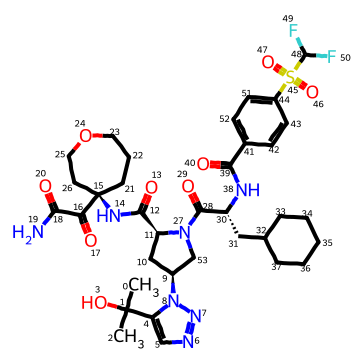 CC(C)(O)c1cnnn1[C@H]1C[C@@H](C(=O)N[C@]2(C(=O)C(N)=O)CCCOCC2)N(C(=O)[C@@H](CC2CCCCC2)NC(=O)c2ccc(S(=O)(=O)C(F)F)cc2)C1